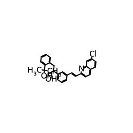 CC(C)(O)c1ccccc1C[C@H](CO)c1cccc(C=Cc2ccc3ccc(Cl)cc3n2)c1